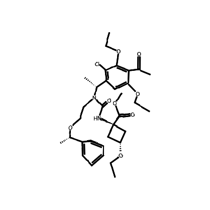 CCOc1cc([C@@H](C)N(CCO[C@@H](C)c2ccccc2)C(=O)N[C@]2(C(=O)OC)C[C@@H](OCC)C2)c(Cl)c(OCC)c1C(C)=O